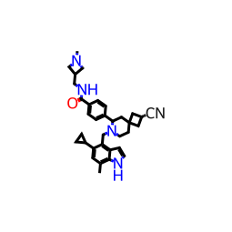 Cc1cc(C2CC2)c(CN2CCC3(CC(C#N)C3)CC2c2ccc(C(=O)NCC3CN(C)C3)cc2)c2cc[nH]c12